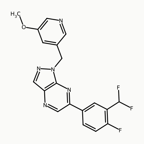 COc1cncc(Cn2ncc3ncc(-c4ccc(F)c(C(F)F)c4)nc32)c1